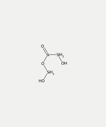 O=[Si](O[SiH2]O)[SiH2]O